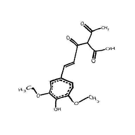 COc1cc(C=CC(=O)C(C(C)=O)C(=O)O)cc(OC)c1O